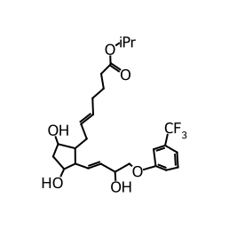 CC(C)OC(=O)CCC/C=C/CC1C(O)CC(O)C1/C=C/C(O)COc1cccc(C(F)(F)F)c1